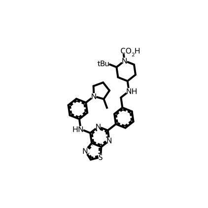 CC1CCCN1c1cccc(Nc2nc(-c3cccc(CNC4CCN(C(=O)O)C(C(C)(C)C)C4)c3)nc3scnc23)c1